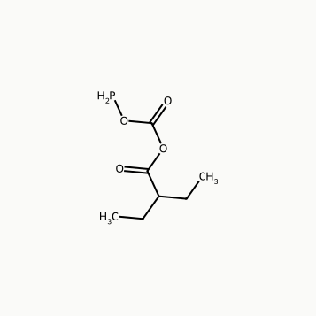 CCC(CC)C(=O)OC(=O)OP